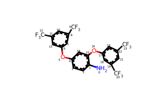 Nc1ccc(Oc2cc(C(F)(F)F)cc(C(F)(F)F)c2)cc1Oc1cc(C(F)(F)F)cc(C(F)(F)F)c1